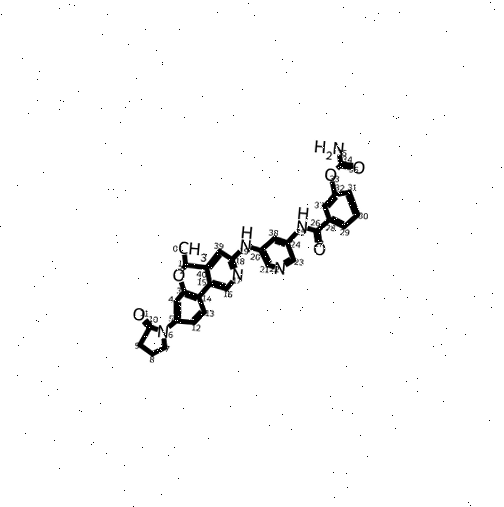 CC1Oc2cc(N3CCCC3=O)ccc2-c2cnc(Nc3cncc(NC(=O)c4cccc(OC(N)=O)c4)c3)cc21